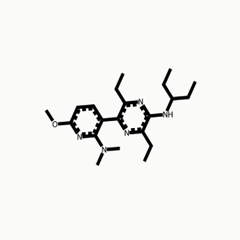 CCc1nc(-c2ccc(OC)nc2N(C)C)c(CC)nc1NC(CC)CC